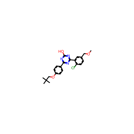 COCc1ccc(Cl)c(-c2nc(O)nc(-c3ccc(OCC(C)(C)C)cc3)n2)c1